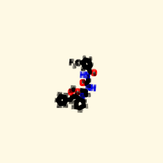 O=C(CNC(=O)c1cccc(C(F)(F)F)c1)NC1CN(C2(C3=C(Cc4ccccc4)OCO3)CCCCC2)C1